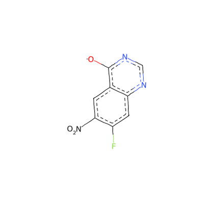 [O]c1ncnc2cc(F)c([N+](=O)[O-])cc12